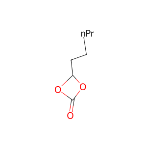 CCCCCC1OC(=O)O1